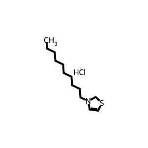 CCCCCCCCCCN1C=CSC1.Cl